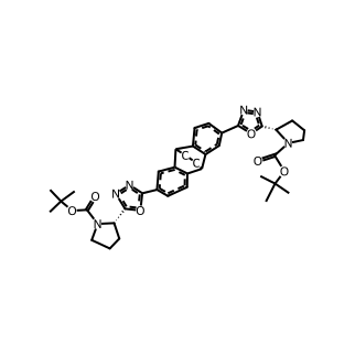 CC(C)(C)OC(=O)N1CCC[C@H]1c1nnc(-c2ccc3c(c2)C2CCC3c3cc(-c4nnc([C@@H]5CCCN5C(=O)OC(C)(C)C)o4)ccc32)o1